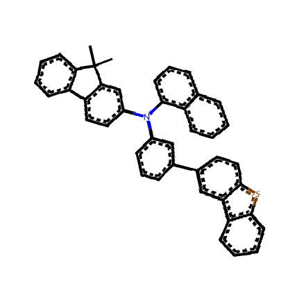 CC1(C)c2ccccc2-c2ccc(N(c3cccc(-c4ccc5sc6ccccc6c5c4)c3)c3cccc4ccccc34)cc21